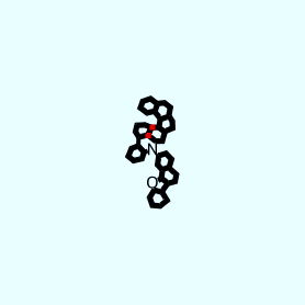 c1ccc(-c2ccccc2N(c2ccc3c(ccc4ccc5ccccc5c43)c2)c2ccc3ccc4c5ccccc5oc4c3c2)cc1